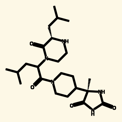 CC(C)CC(C(=O)N1CCC([C@@]2(C)NC(=O)NC2=O)CC1)N1CCN[C@@H](CC(C)C)C1=O